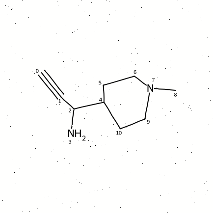 C#CC(N)C1CCN(C)CC1